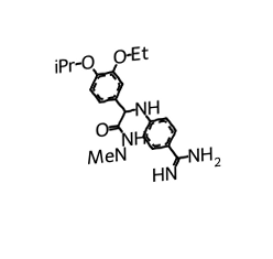 CCOc1cc(C(Nc2ccc(C(=N)N)cc2)C(=O)NNC)ccc1OC(C)C